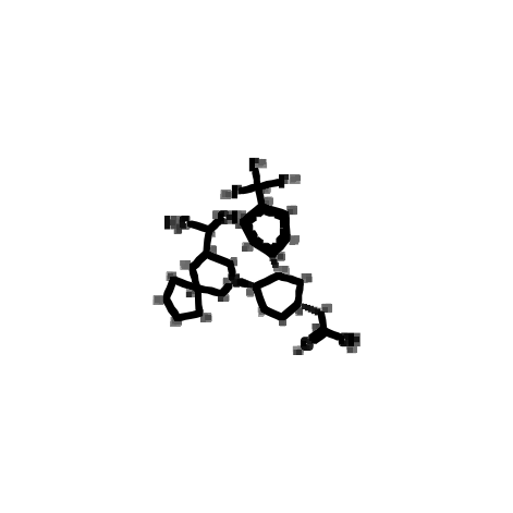 CC(C)C1CN([C@@H]2CC[C@@H](CC(=O)O)C[C@H]2c2ccc(C(F)(F)F)cc2)CC2(CCCC2)C1